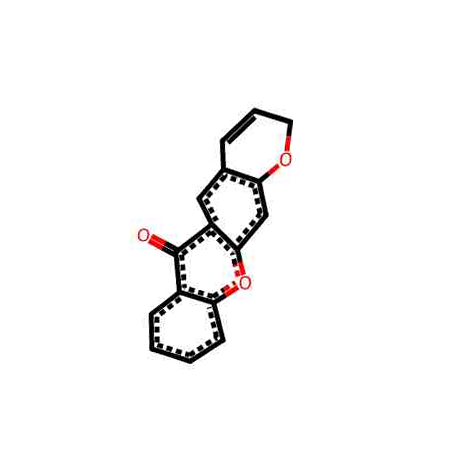 O=c1c2ccccc2oc2cc3c(cc12)C=CCO3